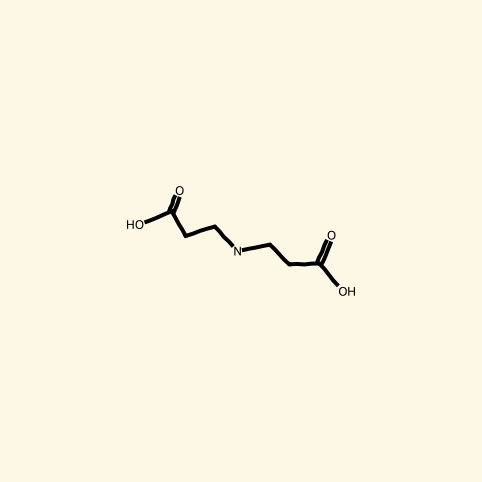 O=C(O)CC[N]CCC(=O)O